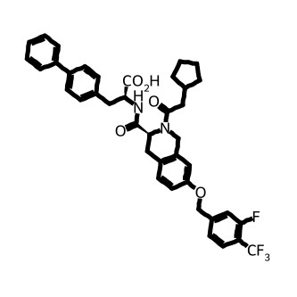 O=C(O)[C@H](Cc1ccc(-c2ccccc2)cc1)NC(=O)[C@@H]1Cc2ccc(OCc3ccc(C(F)(F)F)c(F)c3)cc2CN1C(=O)CC1CCCC1